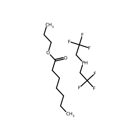 CCCCCCC(=O)OCCC.FC(F)(F)CPCC(F)(F)F